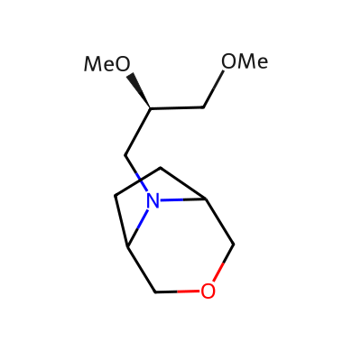 COC[C@@H](CN1C2CCC1COC2)OC